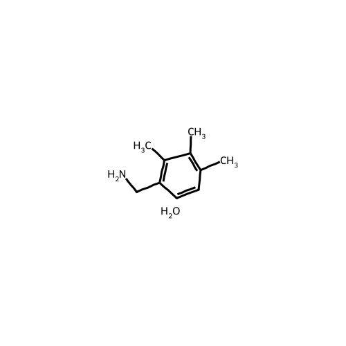 Cc1ccc(CN)c(C)c1C.O